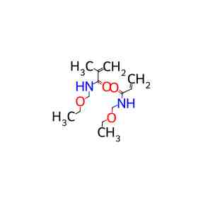 C=C(C)C(=O)NCOCC.C=CC(=O)NCOCC